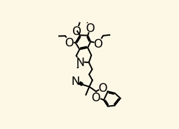 CCOc1c2c(c(OCC)c(OC)c1OC)CN(C)C(CCCC(C)(C#N)C1Oc3ccccc3O1)C2